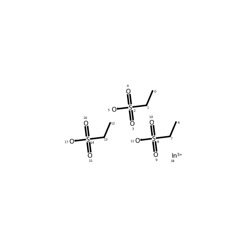 CCS(=O)(=O)[O-].CCS(=O)(=O)[O-].CCS(=O)(=O)[O-].[In+3]